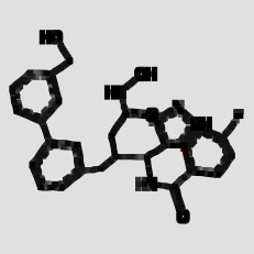 O=C(CC(Cc1cccc(-c2cccc(CO)c2)c1)C(NC(=O)c1ccc(F)cc1)c1c[nH]nn1)NO